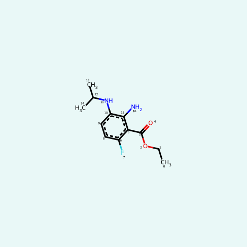 CCOC(=O)c1c(F)ccc(NC(C)C)c1N